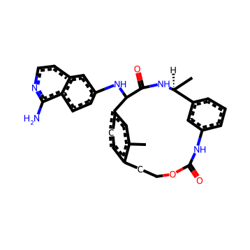 Cc1cc2ccc1CCOC(=O)Nc1cccc(c1)[C@H](C)NC(=O)C2Nc1ccc2c(N)nccc2c1